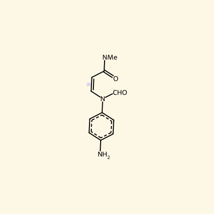 CNC(=O)/C=C\N(C=O)c1ccc(N)cc1